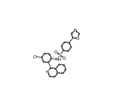 O=S(=O)(Nc1ccc(Cl)cc1-c1nccc2ccccc12)c1ccc(-c2cnco2)cc1